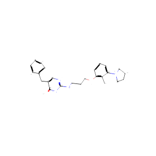 Cc1c(OCCCNc2ncc(Cc3ccccc3)c(=O)[nH]2)cccc1N1CCCC1